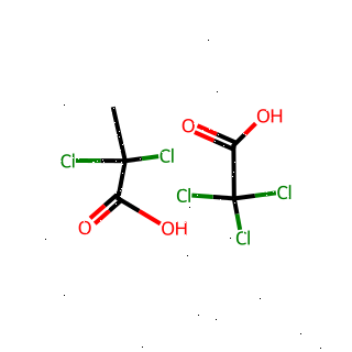 CC(Cl)(Cl)C(=O)O.O=C(O)C(Cl)(Cl)Cl